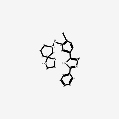 Cc1ccc(-c2nnc(-c3ccccc3)[nH]2)cc1SN1CCCC2(C1)OCCO2